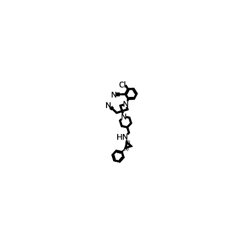 N#CCC1(N2CCC(CN[C@@H]3C[C@H]3c3ccccc3)CC2)CN(c2cccc(Cl)c2C#N)C1